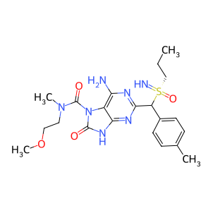 CCC[S@](=N)(=O)C(c1ccc(C)cc1)c1nc(N)c2c(n1)[nH]c(=O)n2C(=O)N(C)CCOC